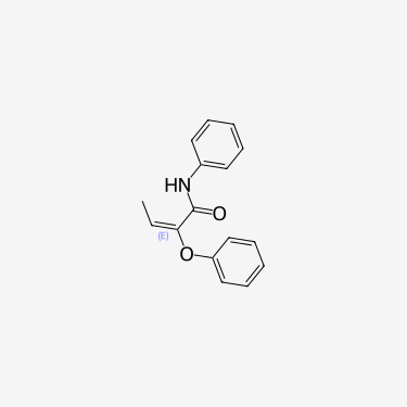 C/C=C(/Oc1ccccc1)C(=O)Nc1ccccc1